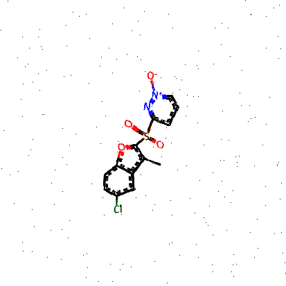 Cc1c(S(=O)(=O)c2ccc[n+]([O-])n2)oc2ccc(Cl)cc12